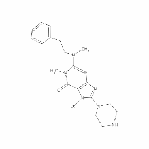 CCn1c(N2CCNCC2)nc2nc(N(C)CCc3ccccc3)n(C)c(=O)c21